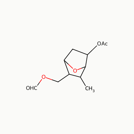 CC(=O)OC1CC2OC1C(C)C2COC=O